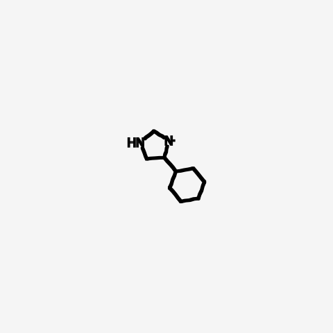 C1CCC(C2CNC[N]2)CC1